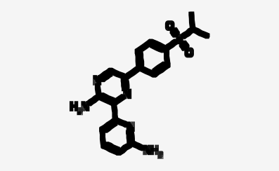 CC(C)S(=O)(=O)c1ccc(-c2cnc(N)c(-c3cccc(N)n3)n2)cc1